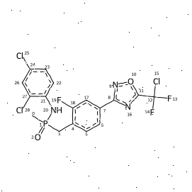 CP(=O)(Cc1ccc(-c2noc(C(F)(F)Cl)n2)cc1F)Nc1ccc(Cl)cc1Cl